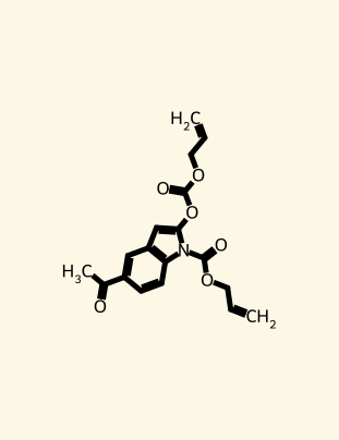 C=CCOC(=O)Oc1cc2cc(C(C)=O)ccc2n1C(=O)OCC=C